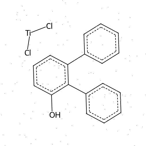 Oc1cccc(-c2ccccc2)c1-c1ccccc1.[Cl][Ti][Cl]